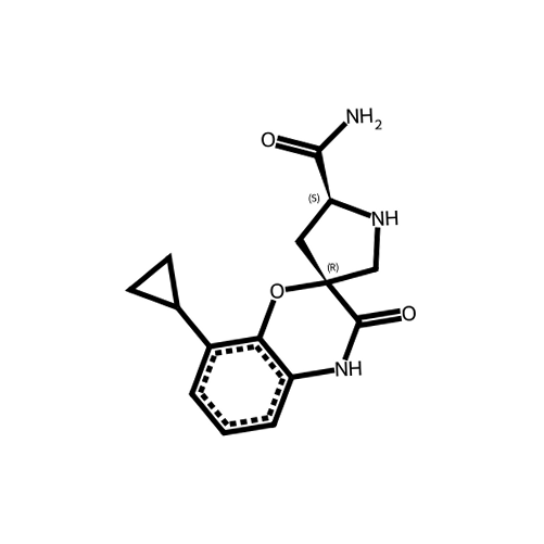 NC(=O)[C@@H]1C[C@]2(CN1)Oc1c(cccc1C1CC1)NC2=O